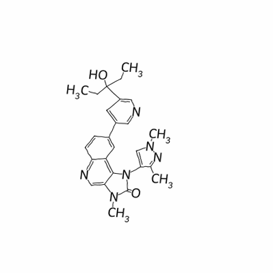 CCC(O)(CC)c1cncc(-c2ccc3ncc4c(c3c2)n(-c2cn(C)nc2C)c(=O)n4C)c1